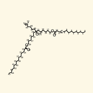 CCCCCCCCCCCCCC(=O)OCCCCCCC(O)(CCCCCCOC(=O)CCCCCCCCCCCCC)CCCCN(C)C